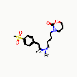 CCN(CCCCN1CCCOC1=O)[C@@H](C)Cc1ccc(S(C)(=O)=O)cc1